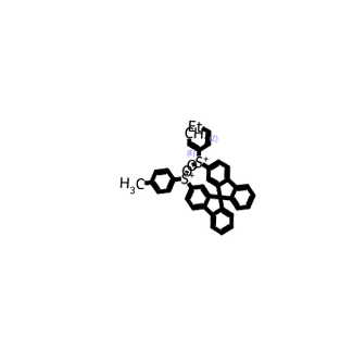 C/C=C(\C=C/CC)[S+]([O-])c1ccc2c(c1)C1(c3ccccc3-2)c2ccccc2-c2ccc([S+]([O-])c3ccc(C)cc3)cc21